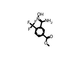 COC(=O)c1ccc(C(F)(F)F)c(C(N)=NO)c1